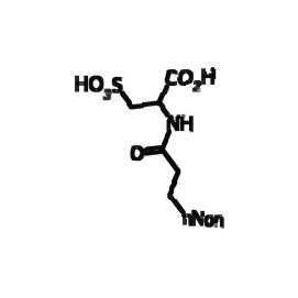 CCCCCCCCCCCC(=O)NC(CS(=O)(=O)O)C(=O)O